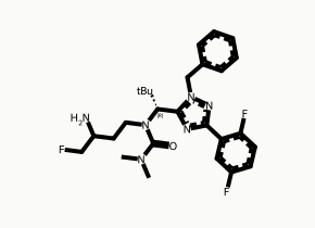 CN(C)C(=O)N(CCC(N)CF)[C@@H](c1nc(-c2cc(F)ccc2F)nn1Cc1ccccc1)C(C)(C)C